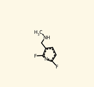 CNCc1ccc(F)nc1F